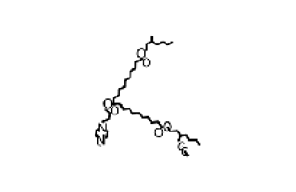 C=C=C=CC(CCCC)CCOC(=O)CCCCCCCCCC1(CCCCCCCCCC(=O)OCCC(C)CCCC)OCC(CCN2CCN(C)CC2)O1